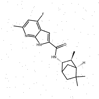 Cc1cc(F)c2cc(C(=O)N[C@H]3C4C[C@@H]([C@@H]3C)C(C)(C)C4)[nH]c2n1